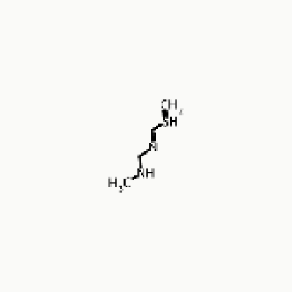 C=[SH]C=NCNC